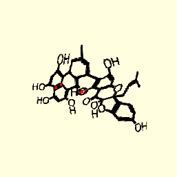 CC(C)=CCC12Oc3cc(O)c(C4C=C(C)CC(c5ccc(O)cc5O)C4C(=O)c4ccc(O)cc4O)c(O)c3C(=O)C1(O)Oc1cc(O)ccc12